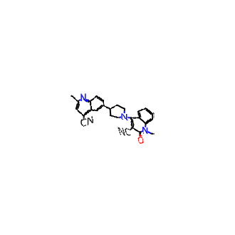 Cc1cc(C#N)c2cc(C3CCN(c4c(C#N)c(=O)n(C)c5ccccc45)CC3)ccc2n1